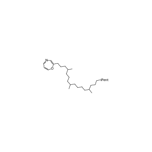 CCCC(C)CCCC(C)CCCCC(C)CCCC(C)CCCC1=CN=CC=CO1